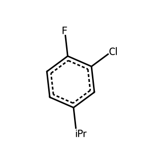 CC(C)c1ccc(F)c(Cl)c1